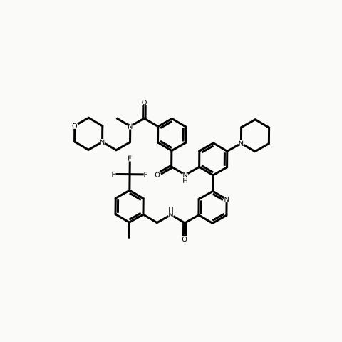 Cc1ccc(C(F)(F)F)cc1CNC(=O)c1ccnc(-c2cc(N3CCCCC3)ccc2NC(=O)c2cccc(C(=O)N(C)CCN3CCOCC3)c2)c1